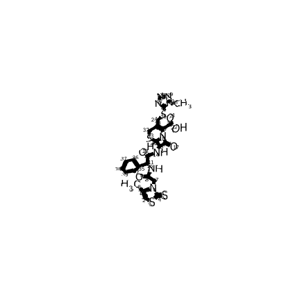 Cc1csc(=S)n1CC(=O)NC(C(=O)NC1C(=O)N2C(C(=O)O)=C(CSc3nnnn3C)CS[C@H]12)c1ccccc1